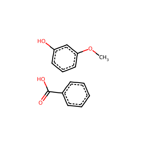 COc1cccc(O)c1.O=C(O)c1ccccc1